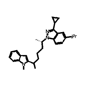 CC(C)c1ccc2c(c1)c(C1CC1)nn2[C@@H](C)CCCC(C)c1cc2ccccc2n1C